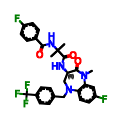 CN1C(=O)[C@H](NC(=O)C(C)(C)NC(=O)c2ccc(F)cc2)CN(Cc2ccc(C(F)(F)F)cc2)c2ccc(F)cc21